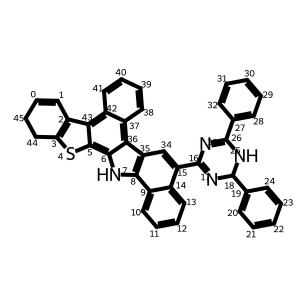 C1=Cc2c(sc3c4[nH]c5c6ccccc6c(C6=NC(c7ccccc7)NC(c7ccccc7)=N6)cc5c4c4ccccc4c23)CC1